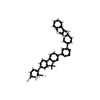 CC1(C)c2cc(-c3cccc(-c4ccc5nc6c7ccccc7oc6n5c4)c3)ccc2-c2ccc(-c3ccc(F)nc3F)cc21